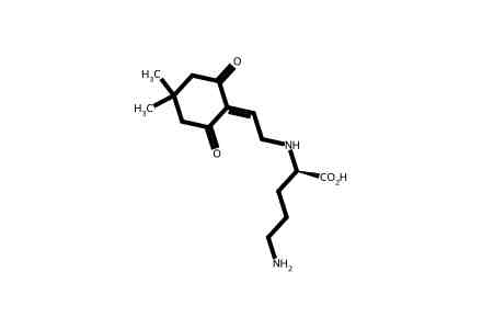 CC1(C)CC(=O)C(=CCN[C@H](CCCN)C(=O)O)C(=O)C1